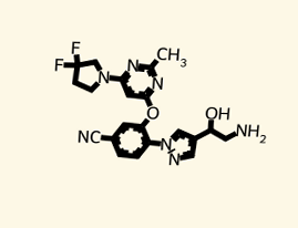 Cc1nc(Oc2cc(C#N)ccc2-n2cc(C(O)CN)cn2)cc(N2CCC(F)(F)C2)n1